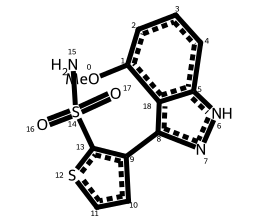 COc1cccc2[nH]nc(-c3ccsc3S(N)(=O)=O)c12